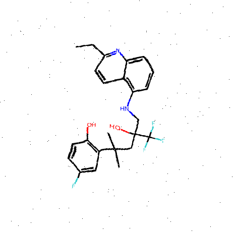 CCc1ccc2c(NCC(O)(CC(C)(C)c3cc(F)ccc3O)C(F)(F)F)cccc2n1